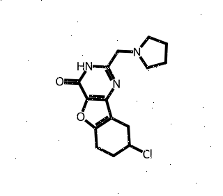 O=c1[nH]c(CN2CCCC2)nc2c3c(oc12)CCC(Cl)C3